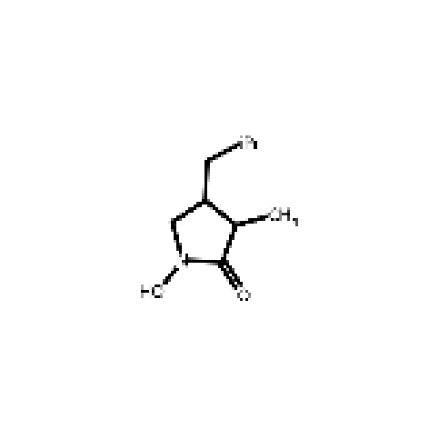 CC(C)CC1CN(O)C(=O)C1C